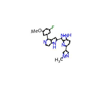 COc1cc(F)cc(-c2nccc3[nH]c(-c4n[nH]c5ccc(-c6cnn(C)c6)nc45)cc23)c1